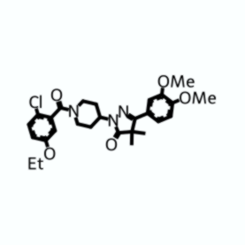 CCOc1ccc(Cl)c(C(=O)N2CCC(N3N=C(c4ccc(OC)c(OC)c4)C(C)(C)C3=O)CC2)c1